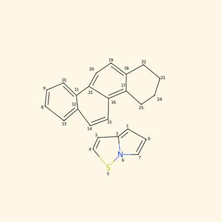 c1cc2ccsn2c1.c1ccc2c(c1)ccc1c3c(ccc12)CCCC3